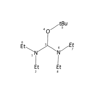 CCN(CC)C(OC(C)(C)C)N(CC)CC